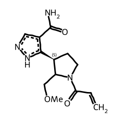 C=CC(=O)N1CC[C@H](c2[nH]ncc2C(N)=O)C1COC